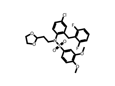 COc1ccc(S(=O)(=O)N(CCC2OCCO2)c2ccc(Cl)cc2Cc2c(F)cccc2F)cc1OC